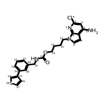 Nc1cc(Cl)nc2c1ccn2CCCCOC(=O)NCc1cccc(-c2ccsc2)c1